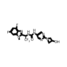 Cn1c([C@@H](NC(=O)Nc2cnc(N3CC(O)C3)nc2)C(F)(F)F)nc2c(F)cc(F)cc21